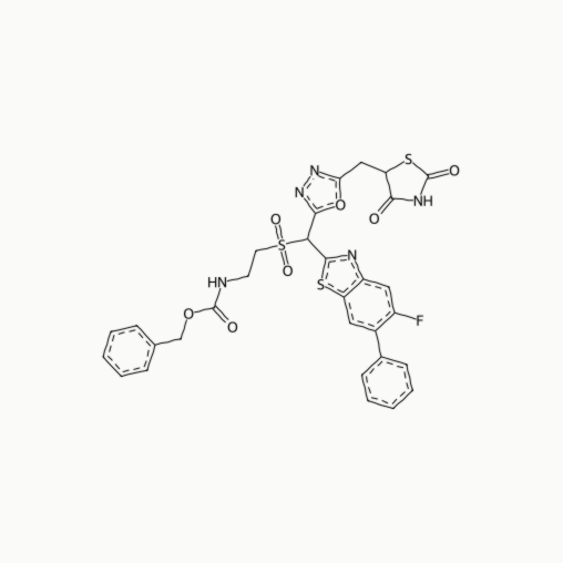 O=C(NCCS(=O)(=O)C(c1nnc(CC2SC(=O)NC2=O)o1)c1nc2cc(F)c(-c3ccccc3)cc2s1)OCc1ccccc1